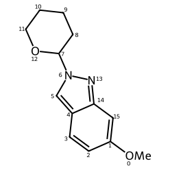 COc1ccc2cn(C3CCCCO3)nc2c1